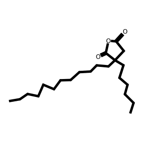 CCCCCCCCCCCCC1(CCCCCC)CC(=O)OC1=O